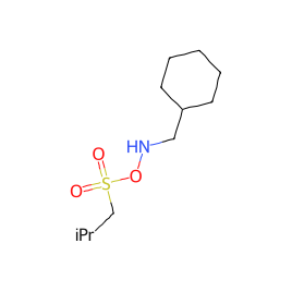 CC(C)CS(=O)(=O)ONCC1CCCCC1